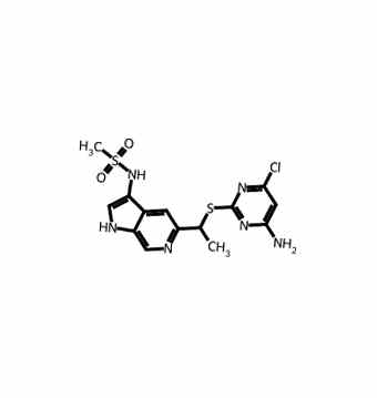 CC(Sc1nc(N)cc(Cl)n1)c1cc2c(NS(C)(=O)=O)c[nH]c2cn1